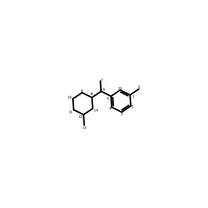 Cc1cccc(C(C)C2CCCC(C)C2)c1